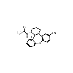 N#Cc1ccc2c(c1)N1CCC[C@@H](NC(=O)C(F)(F)F)[C@@H]1c1ccccc1O2